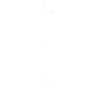 CCCCCCCCCCCCCCCCC(O)CCl